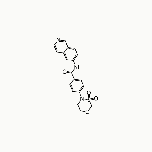 O=C(Nc1ccc2cnccc2c1)c1ccc(N2CCOCS2(=O)=O)cc1